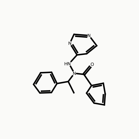 CC(c1ccccc1)N(Nc1ccncn1)C(=O)c1ccccc1